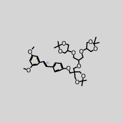 COc1cc(/C=C/c2ccc(OCC3(COC(COC4COC(C)(C)OC4)COC4COC(C)(C)OC4)COC(C)(C)OC3)cc2)cc(OC)c1